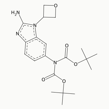 CC(C)(C)OC(=O)N(C(=O)OC(C)(C)C)c1ccc2nc(N)n(C3COC3)c2c1